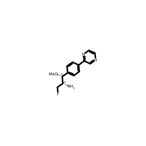 CO[C@H](c1ccc(-c2cnccn2)cc1)[C@H](N)CF